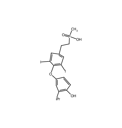 CC(C)c1cc(Oc2c(I)cc(CCP(C)(=O)O)cc2I)ccc1O